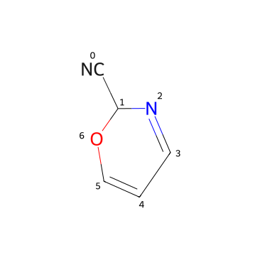 N#CC1N=CC=CO1